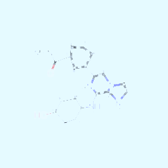 CNC(=O)c1cccc(-c2cn3ccnc3c(NC3CCC(O)CC3)n2)c1